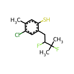 Cc1cc(S)c(CC(F)C(C)(C)F)cc1Cl